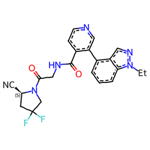 CCn1ncc2c(-c3cnccc3C(=O)NCC(=O)N3CC(F)(F)C[C@H]3C#N)cccc21